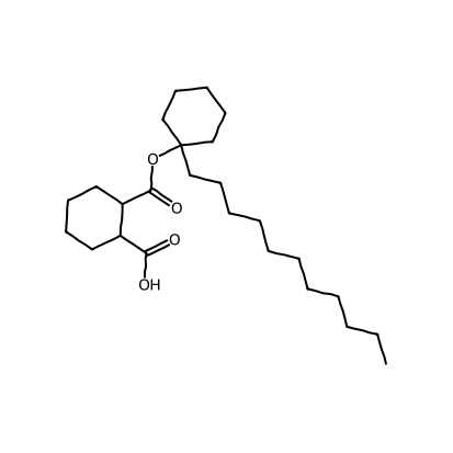 CCCCCCCCCCCC1(OC(=O)C2CCCCC2C(=O)O)CCCCC1